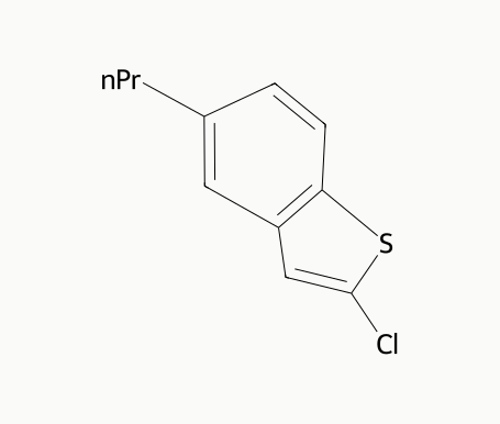 CCCc1ccc2sc(Cl)cc2c1